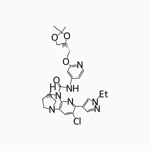 CCn1cc(-c2nc3c(cc2Cl)N2CC[C@@H](C2)N3C(=O)Nc2ccnc(OC[C@@H]3COC(C)(C)O3)c2)cn1